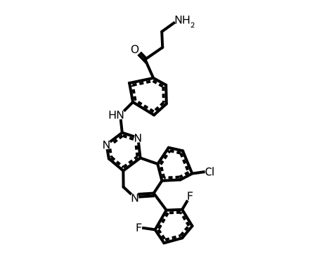 NCCC(=O)c1cccc(Nc2ncc3c(n2)-c2ccc(Cl)cc2C(c2c(F)cccc2F)=NC3)c1